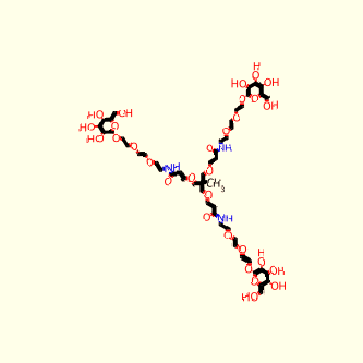 CC(COCCC(=O)NCCOCCOCCO[C@H]1OC(CO)[C@@H](O)[C@H](O)C1O)(COCCC(=O)NCCOCCOCCO[C@H]1OC(CO)[C@@H](O)[C@H](O)C1O)COCCC(=O)NCCOCCOCCO[C@H]1OC(CO)[C@@H](O)C(O)[C@H]1O